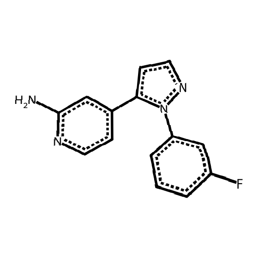 Nc1cc(-c2ccnn2-c2cccc(F)c2)ccn1